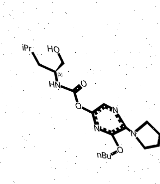 CCCCOc1nc(OC(=O)N[C@H](CO)CC(C)C)cnc1N1CCCC1